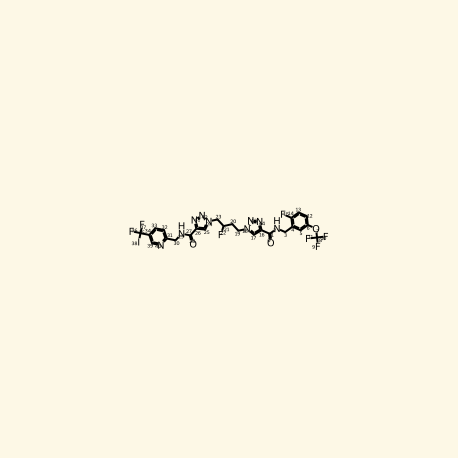 O=C(NCc1cc(OC(F)(F)F)ccc1F)c1cn(CCC(F)Cn2cc(C(=O)NCc3ccc(C(F)(F)I)cn3)nn2)nn1